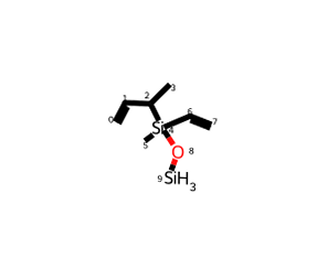 C=CC(C)[Si](C)(C=C)O[SiH3]